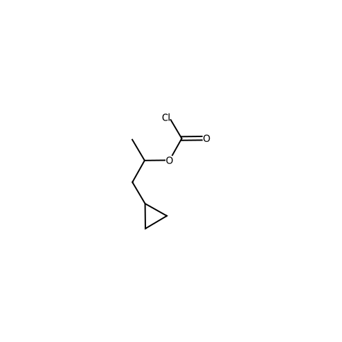 CC(CC1CC1)OC(=O)Cl